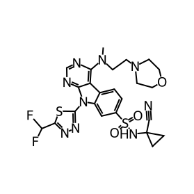 CN(CCN1CCOCC1)c1ncnc2c1c1ccc(S(=O)(=O)NC3(C#N)CC3)cc1n2-c1nnc(C(F)F)s1